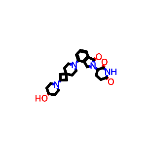 O=C1CCC(N2Cc3c(cccc3N3CCC4(CC3)CC(N3CCC(O)CC3)C4)C2=O)C(=O)N1